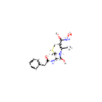 O=C(Cc1ccccc1)NC1C(=O)N2C(C(=O)O)=C(C(=O)NO)CS[C@@H]12